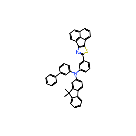 CC1(C)c2ccccc2-c2ccc(N(c3cccc(-c4ccccc4)c3)c3cccc(-c4nc5c(s4)-c4cccc6cccc-5c46)c3)cc21